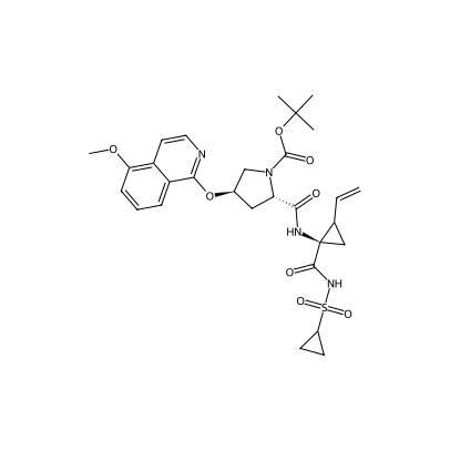 C=CC1C[C@]1(NC(=O)[C@@H]1C[C@@H](Oc2nccc3c(OC)cccc23)CN1C(=O)OC(C)(C)C)C(=O)NS(=O)(=O)C1CC1